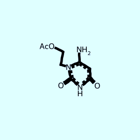 CC(=O)OCCn1c(N)cc(=O)[nH]c1=O